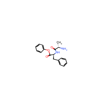 C[C@H](N)C(=O)N[C@@H](Cc1ccccc1)C(=O)Oc1ccccc1